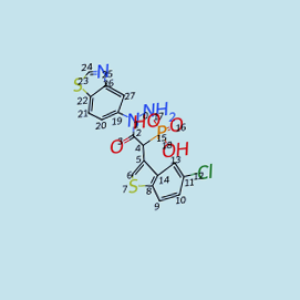 NN(C(=O)C(c1csc2ccc(Cl)cc12)P(=O)(O)O)c1ccc2scnc2c1